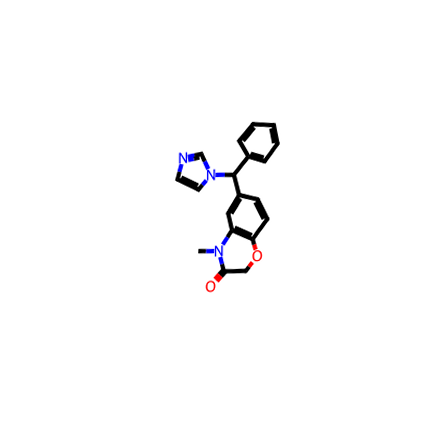 CN1C(=O)COc2ccc(C(c3ccccc3)n3ccnc3)cc21